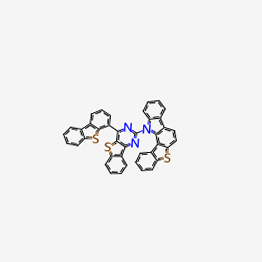 c1ccc2c(c1)sc1c(-c3nc(-n4c5ccccc5c5ccc6sc7ccccc7c6c54)nc4c3sc3ccccc34)cccc12